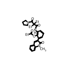 CCC(=O)Oc1c(NC(=O)C(CC)(CC)C(=O)N2CCCC2)cccc1-c1cc2ccccc2n(C)c1=O